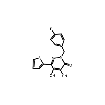 N#Cc1c(O)c(-c2cccs2)nn(Cc2ccc(F)cc2)c1=O